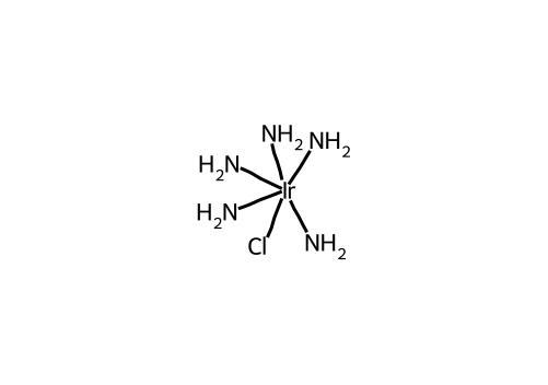 [NH2][Ir]([NH2])([NH2])([NH2])([NH2])[Cl]